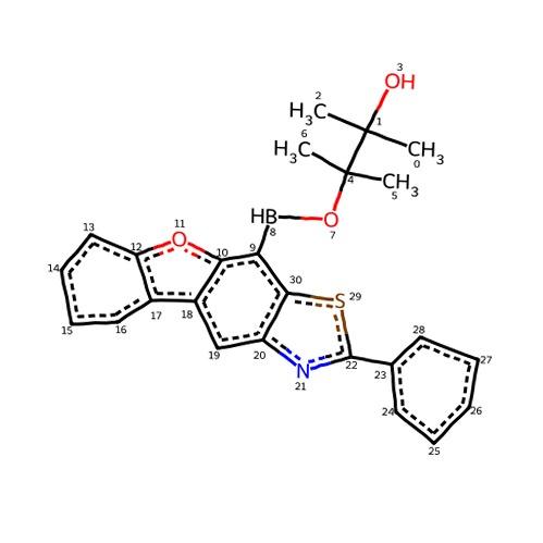 CC(C)(O)C(C)(C)OBc1c2oc3ccccc3c2cc2nc(-c3ccccc3)sc12